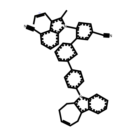 C/C=C\c1c(C)n(-c2ccc(C#N)cc2-c2cccc(-c3ccc(-n4c5c(c6ccccc64)CC=CCC5)cc3)c2)c2cccc(C#N)c12